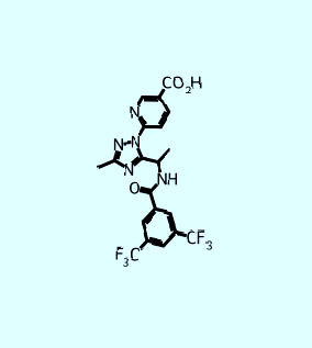 Cc1nc(C(C)NC(=O)c2cc(C(F)(F)F)cc(C(F)(F)F)c2)n(-c2ccc(C(=O)O)cn2)n1